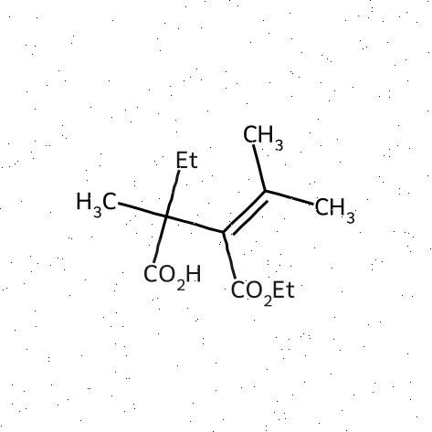 CCOC(=O)C(=C(C)C)C(C)(CC)C(=O)O